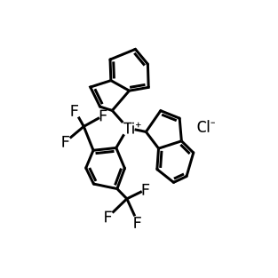 FC(F)(F)c1ccc(C(F)(F)F)[c]([Ti+]([CH]2C=Cc3ccccc32)[CH]2C=Cc3ccccc32)c1.[Cl-]